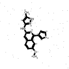 COc1ccc2cc(Nc3cc(C)[nH]n3)nc(-c3ccsc3)c2c1